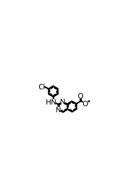 COC(=O)c1ccc2cnc(Nc3cccc(Cl)c3)nc2c1